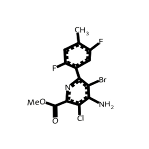 COC(=O)c1nc(-c2cc(F)c(C)cc2F)c(Br)c(N)c1Cl